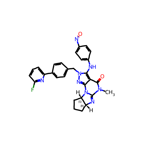 CN1C(=O)c2c(nn(Cc3ccc(-c4cccc(F)n4)cc3)c2Nc2ccc(N=O)cc2)N2C1=N[C@@H]1CCC[C@@H]12